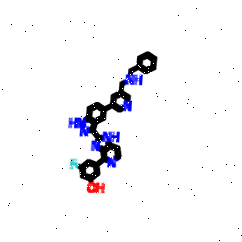 Oc1cc(F)cc(-c2nccc3[nH]c(-c4n[nH]c5ccc(-c6cncc(CNCc7ccccc7)c6)cc45)nc23)c1